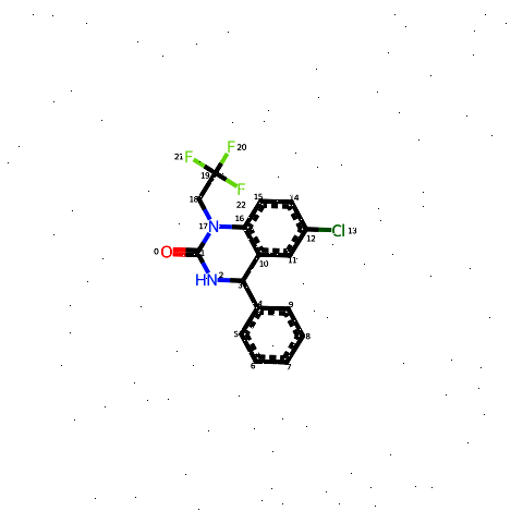 O=C1NC(c2ccccc2)c2cc(Cl)ccc2N1CC(F)(F)F